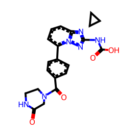 C1CC1.O=C(O)Nc1nc2cccc(-c3ccc(C(=O)N4CCNC(=O)C4)cc3)n2n1